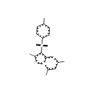 CSc1nn2c(Cl)cc(C)nc2c1S(=O)(=O)c1ccc(F)cc1